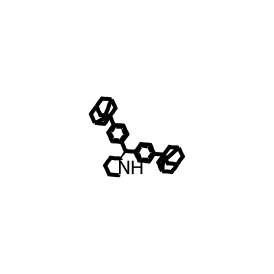 c1cc(C23CC4CC(CC(C4)C2)C3)ccc1C(c1ccc(C23CC4CC(CC(C4)C2)C3)cc1)[C@@H]1CCCCN1